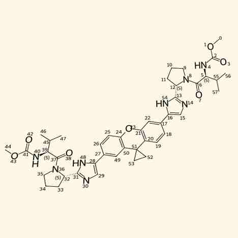 COC(=O)N[C@H](C(=O)N1CCC[C@H]1c1ncc(-c2ccc3c(c2)Oc2ccc(-c4cnc([C@@H]5CCCN5C(=O)[C@@H](NC(=O)OC)C(C)C)[nH]4)cc2C32CC2)[nH]1)C(C)C